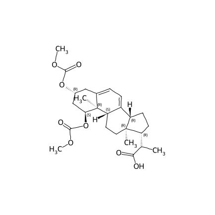 COC(=O)O[C@@H]1CC2=CC=C3[C@@H]4CC[C@H](C(C)C(=O)O)[C@@]4(C)CC[C@@H]3[C@@]2(C)[C@@H](OC(=O)OC)C1